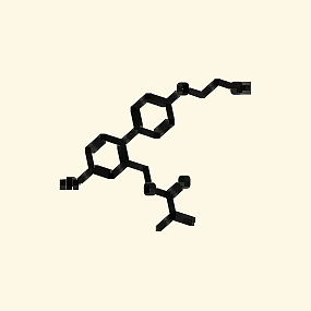 C=C(C)C(=O)OCc1cc(CCC)ccc1-c1ccc(OCCO)cc1